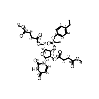 CCc1ccc(OP(C)(=O)O[C@H]2[C@@H](OC(=O)CCC(=O)OC)[C@H](n3ccc(=O)[nH]c3=O)O[C@@H]2COC(=O)CCC(=O)OC)cc1